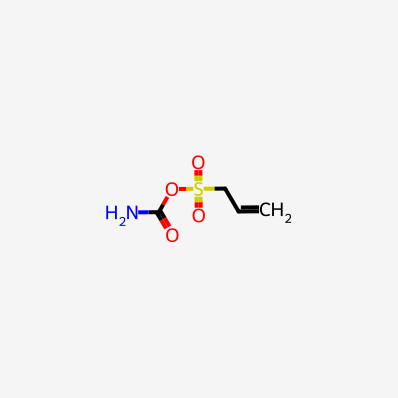 C=CCS(=O)(=O)OC(N)=O